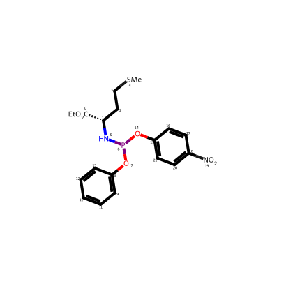 CCOC(=O)[C@H](CCSC)NP(Oc1ccccc1)Oc1ccc([N+](=O)[O-])cc1